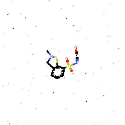 CN1Cc2cccc(S(=O)(=O)N=C=O)c2S1